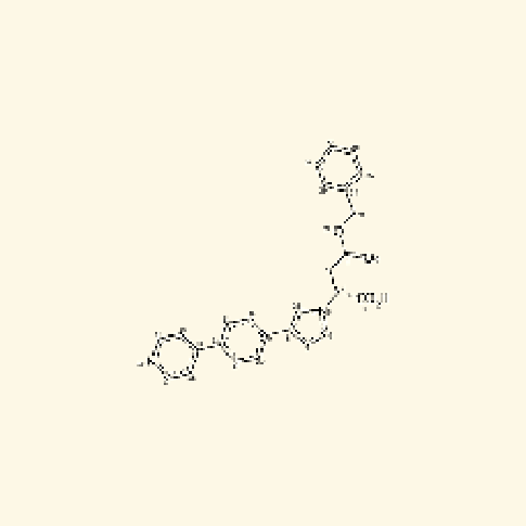 O=C(C[C@H](C(=O)O)n1ccc(-c2ccc(-c3ccncc3)cc2)c1)OCc1ccccc1